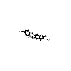 Cc1c(C(=O)O)c(=O)oc2cc3c(cc12)nc(Nc1cccc(I)c1)n3C